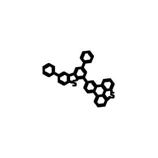 c1ccc(-c2ccc3sc4c(-c5ccc6c(c5)c5cccc7sc8cccc6c8c75)cc(-c5ccccc5)cc4c3c2)cc1